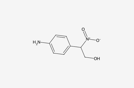 Nc1ccc(C(CO)[N+](=O)[O-])cc1